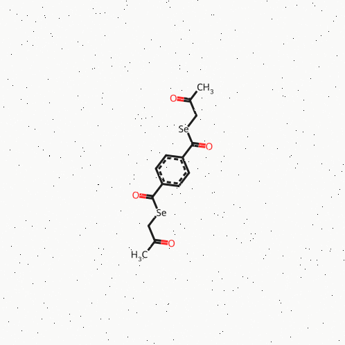 CC(=O)C[Se]C(=O)c1ccc(C(=O)[Se]CC(C)=O)cc1